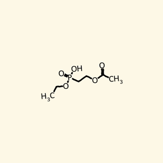 CCOP(=O)(O)CCOC(C)=O